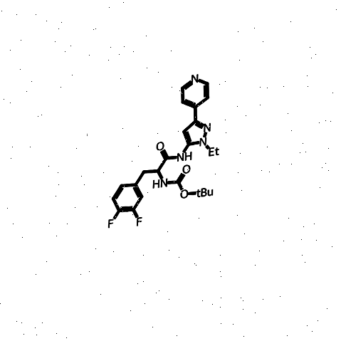 CCn1nc(-c2ccncc2)cc1NC(=O)C(Cc1ccc(F)c(F)c1)NC(=O)OC(C)(C)C